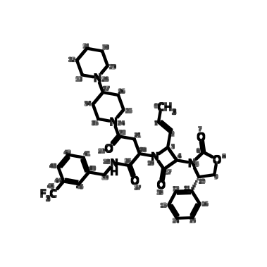 CC=CC1C(N2C(=O)OC[C@@H]2c2ccccc2)C(=O)N1C(CC(=O)N1CCC(N2CCCCC2)CC1)C(=O)NCc1cccc(C(F)(F)F)c1